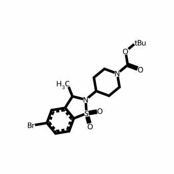 CC1c2cc(Br)ccc2S(=O)(=O)N1C1CCN(C(=O)OC(C)(C)C)CC1